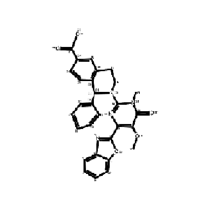 COc1c(-c2nc3ccccc3o2)nc(N2CCc3cc(C(=O)O)ccc3[C@@H]2c2ccccc2)n(C)c1=O